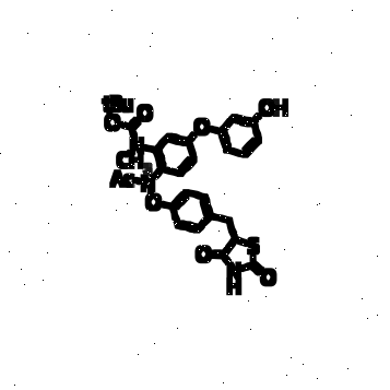 CC(=O)N(Oc1ccc(CC2SC(=O)NC2=O)cc1)c1ccc(Oc2cccc(O)c2)cc1N(C)C(=O)OC(C)(C)C